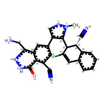 Cn1ncc(-c2cc(C#N)c3c(=O)[nH]nc(CN)c3c2)c1C1C(F)=Cc2ccccc2[C@H]1C#N